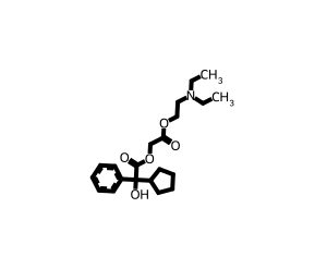 CCN(CC)CCOC(=O)COC(=O)C(O)(c1ccccc1)C1CCCC1